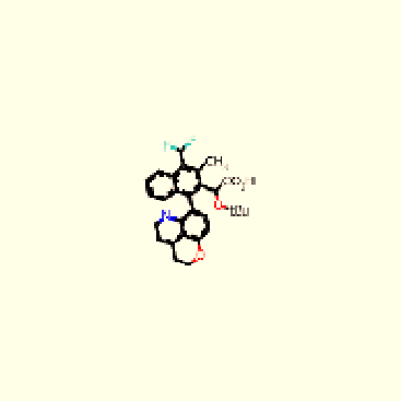 Cc1c(C(OC(C)(C)C)C(=O)O)c(-c2ccc3c4c(ccnc24)CCO3)c2ccccc2c1C(F)F